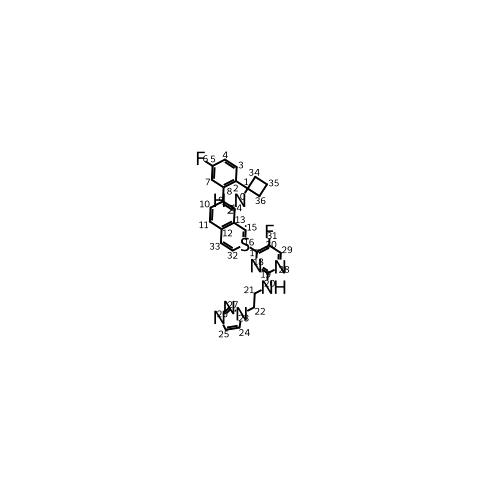 NC1(c2ccc(F)cc2-c2ccc3c(c2)[C]=S(c2nc(NCCn4ccnn4)ncc2F)C=C3)CCC1